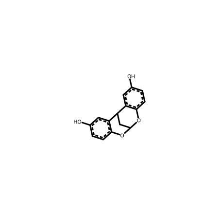 Oc1ccc2c(c1)C1CC(O2)Oc2ccc(O)cc21